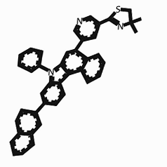 CC1(C)CSC(c2cncc(-c3cc4c(c5ccccc35)c3ccc(-c5ccc6ccccc6c5)cc3n4-c3ccccc3)c2)=N1